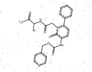 CC(C)C(NC(=O)Cn1c(-c2ccccc2)ccc(NC(=O)OCc2ccncc2)c1=O)C(=O)C(F)(F)F